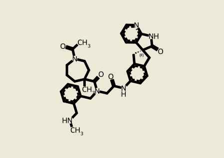 CNCc1ccccc1CN(CC(=O)Nc1ccc2c(c1)C[C@@]1(C2)C(=O)Nc2ncccc21)C(=O)C1(C)CCCN(C(C)=O)CC1